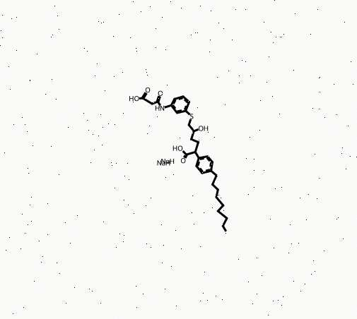 CCCCCCCCCc1ccc(C(CCC(O)CSc2cccc(NC(=O)CC(=O)O)c2)C(=O)O)cc1.[NaH].[NaH]